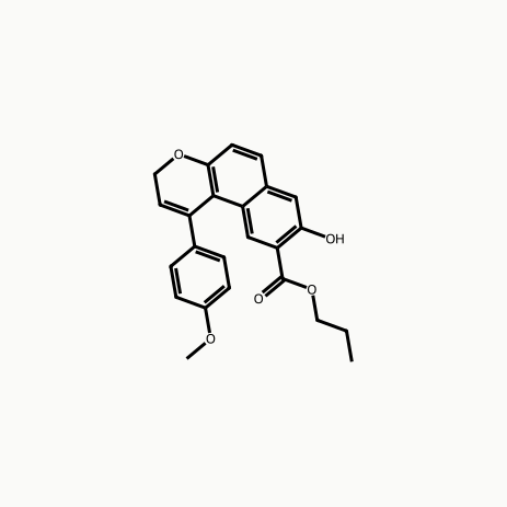 CCCOC(=O)c1cc2c3c(ccc2cc1O)OCC=C3c1ccc(OC)cc1